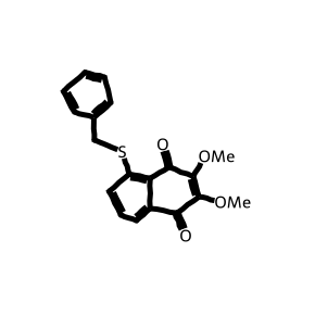 COC1=C(OC)C(=O)c2c(SCc3ccccc3)cccc2C1=O